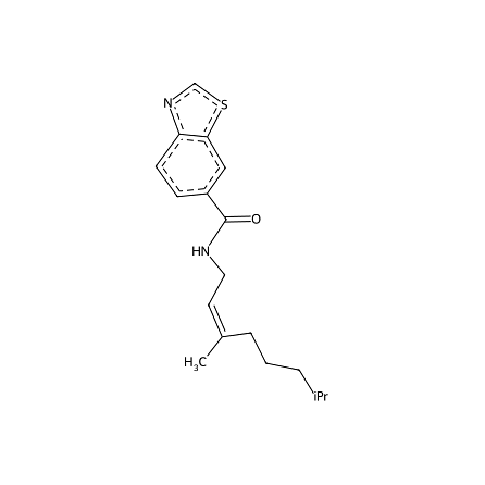 CC(=CCNC(=O)c1ccc2ncsc2c1)CCCC(C)C